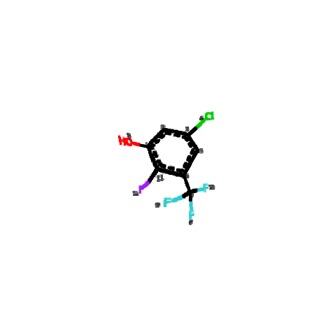 Oc1cc(Cl)cc(C(F)(F)F)c1I